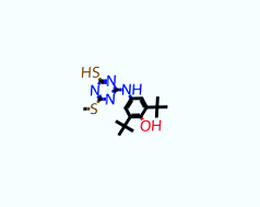 CSc1nc(S)nc(Nc2cc(C(C)(C)C)c(O)c(C(C)(C)C)c2)n1